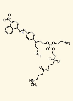 [2H]OCCN(CCOP(=O)(OCCC#N)OCCS(=O)(=O)CCOC(=O)CCCNC)c1ccc(/N=N/c2ccc([N+](=O)[O-])c3ccccc23)cc1